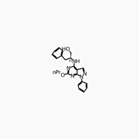 CCCOc1nc(N[C@H](CO)Cc2ccccc2)c2cnn(-c3ccccc3)c2n1